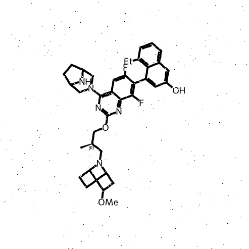 CCc1cccc2cc(O)cc(-c3c(F)cc4c(N5CC6CCC(C5)N6)nc(OC[C@H](C)CN5C6CCC67C(OC)CC57)nc4c3F)c12